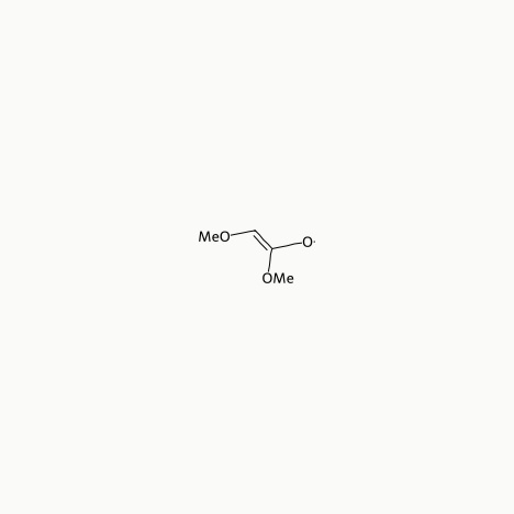 CO/C=C(/[O])OC